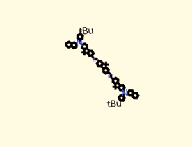 CC(C)(C)c1ccc(N(c2ccc3c(c2)C(C)(C)c2cc(/C=C/c4ccc5c(c4)C(C)(C)c4cc(/C=C/c6ccc7c(c6)C(C)(C)c6cc(N(c8ccc(C(C)(C)C)cc8)c8ccc9ccccc9c8)ccc6-7)ccc4-5)ccc2-3)c2ccc3ccccc3c2)cc1